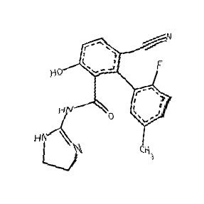 Cc1ccc(F)c(-c2c(C#N)ccc(O)c2C(=O)NC2=NCCN2)c1